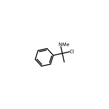 CNC(C)(Cl)c1ccccc1